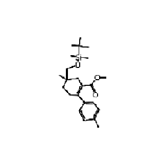 COC(=O)C1=C(c2ccc(C)cc2)CCC(C)(CO[Si](C)(C)C(C)(C)C)C1